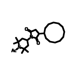 CC(=O)N1C(C)(C)CC(N2C(=O)CC(C3CCCCCCCCCCC3)C2=O)CC1(C)C